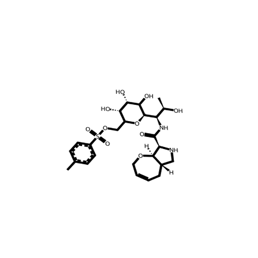 Cc1ccc(S(=O)(=O)OCC2O[C@H]([C@H](NC(=O)[C@H]3NC[C@@H]4CC=CCO[C@H]43)[C@@H](C)O)C(O)[C@@H](O)[C@H]2O)cc1